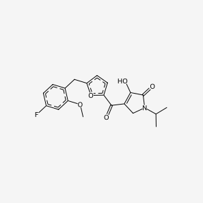 COc1cc(F)ccc1Cc1ccc(C(=O)C2=C(O)C(=O)N(C(C)C)C2)o1